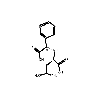 CC(C)C[C@@H](N[C@H](C(=O)O)c1ccccc1)C(=O)O